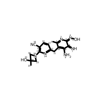 CC1=N/C(=N/O)C(=N)C(N)=C1Cc1ccc(C#N)c(N2CC(C)(O)C2)n1